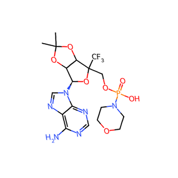 CC1(C)OC2C(O1)C(COP(=O)(O)N1CCOCC1)(C(F)(F)F)O[C@H]2n1cnc2c(N)ncnc21